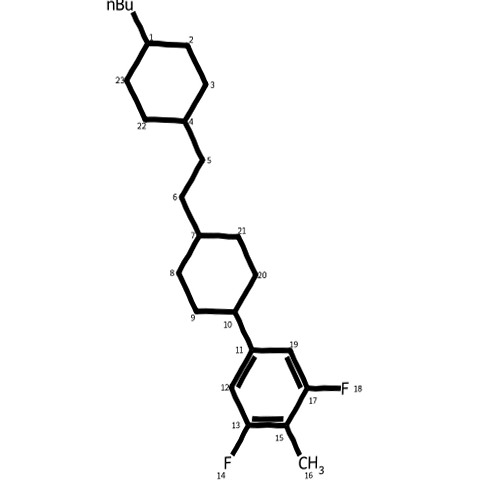 CCCCC1CCC(CCC2CCC(c3cc(F)c(C)c(F)c3)CC2)CC1